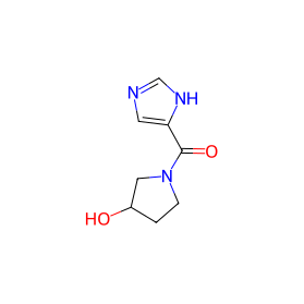 O=C(c1cnc[nH]1)N1CCC(O)C1